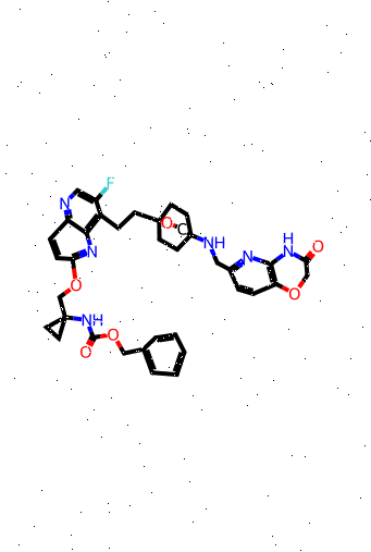 O=C1COc2ccc(CNC34CCC(CCc5c(F)cnc6ccc(OCC7(NC(=O)OCc8ccccc8)CC7)nc56)(CC3)OC4)nc2N1